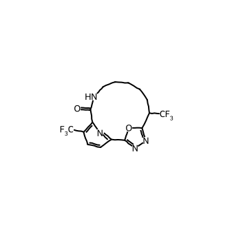 O=C1NCCCCCC(C(F)(F)F)c2nnc(o2)-c2ccc(C(F)(F)F)c1n2